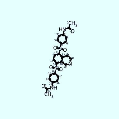 CC(=O)Nc1ccc(S(=O)(=O)c2ccc(S(=O)(=O)c3ccc(NC(C)=O)cc3)c3cnccc23)cc1